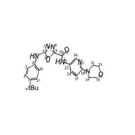 CC(C)(C)c1ccc(Nc2nnc(C(=O)Nc3ccc(N4CCOCC4)nc3)o2)cc1